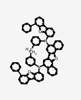 Cc1cccc(N(c2cc3c4cc(N(c5cccc(C)c5)c5cccc6c5oc5c(-c7ccccc7)cccc56)c5ccccc5c4oc3c3ccccc23)c2cccc3c2oc2c(-c4ccccc4)cccc23)c1